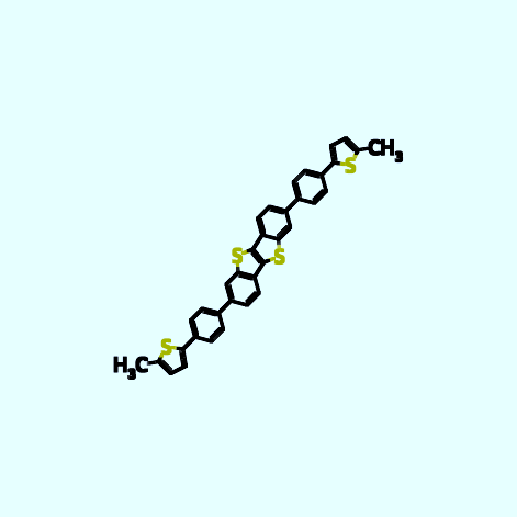 Cc1ccc(-c2ccc(-c3ccc4c(c3)sc3c5ccc(-c6ccc(-c7ccc(C)s7)cc6)cc5sc43)cc2)s1